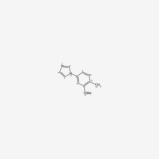 COc1cc(-n2ccnc2)ccc1C